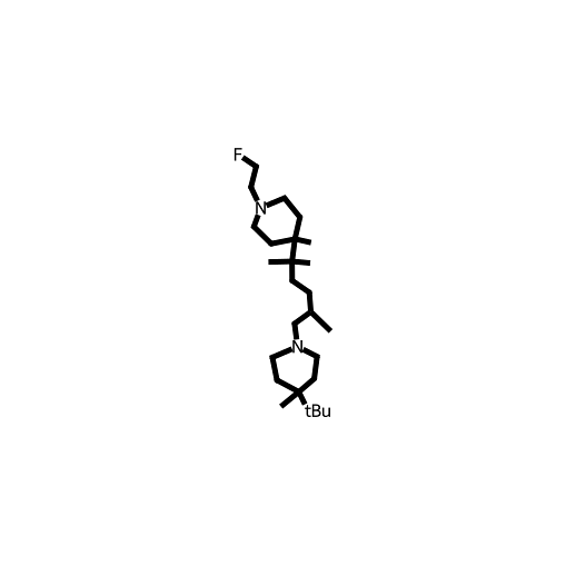 CC(CCC(C)(C)C1(C)CCN(CCF)CC1)CN1CCC(C)(C(C)(C)C)CC1